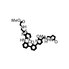 COC(=O)CNCc1nc2c(Nc3cccc(-c4cccc(-c5ccc(CNCC6CCC(=O)N6)c(OC)n5)c4Cl)c3Cl)nccc2s1